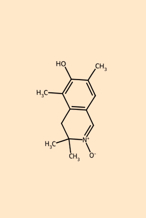 Cc1cc2c(c(C)c1O)CC(C)(C)[N+]([O-])=C2